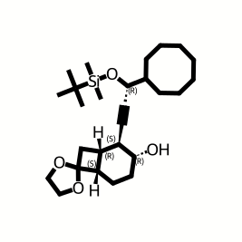 CC(C)(C)[Si](C)(C)O[C@@H](C#C[C@@H]1[C@H]2CC3(OCCO3)[C@H]2CC[C@H]1O)C1CCCCCCC1